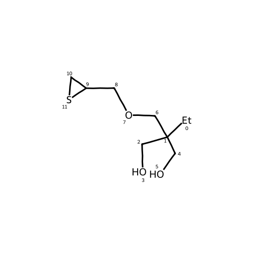 CCC(CO)(CO)COCC1CS1